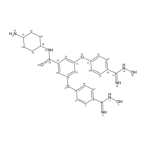 N=C(NO)c1ccc(Oc2cc(Oc3ccc(C(=N)NO)cc3)cc(C(=O)NC3CCC(N)CC3)c2)cc1